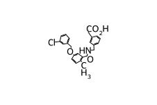 Cc1ccc(OCc2cccc(Cl)c2)cc1C(=O)NCc1cccc(CC(=O)O)c1